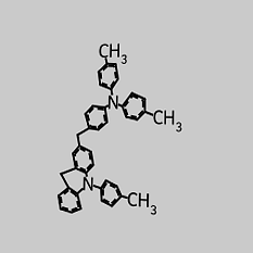 Cc1ccc(N(c2ccc(C)cc2)c2ccc(Cc3ccc4c(c3)Cc3ccccc3N4c3ccc(C)cc3)cc2)cc1